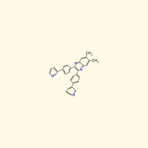 Cc1cc2nc(-c3ccc(-c4cccnc4)cc3)c(-c3ccc(-c4cccnc4)cc3)nc2cc1C